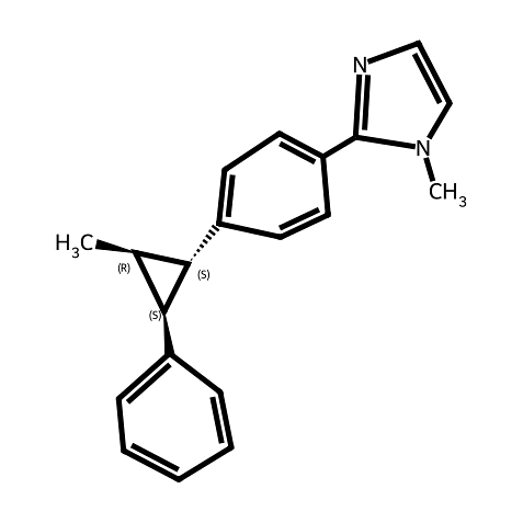 C[C@@H]1[C@H](c2ccccc2)[C@H]1c1ccc(-c2nccn2C)cc1